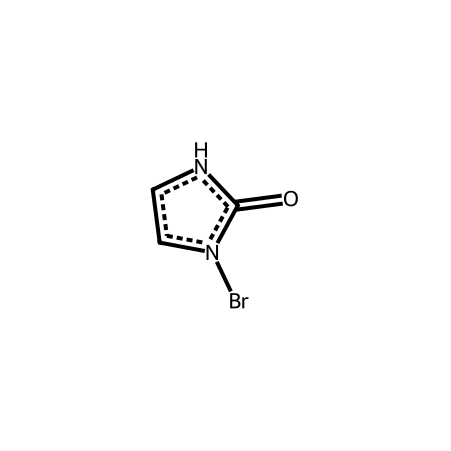 O=c1[nH]ccn1Br